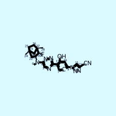 CN(c1cnc(-c2ccc(-n3cc(C#N)nn3)cc2O)nn1)[C@H]1C[C@]2(C)CC[C@@](C)(C2)[C@H]1F